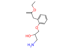 C=C(Cc1ccccc1OCC(O)CN)OCC